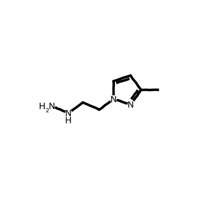 Cc1ccn(CCNN)n1